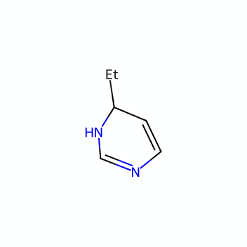 CCC1C=CN=CN1